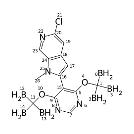 BC(B)(B)Oc1ncnc(OC(B)(B)B)c1-c1cc2cc(Cl)ncc2n1C